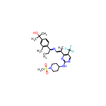 CC/C(=N\C=C(/C)c1nc(NC2CCN(S(C)(=O)=O)CC2)ncc1C(F)(F)F)c1ccc(C(C)(C)O)cc1C